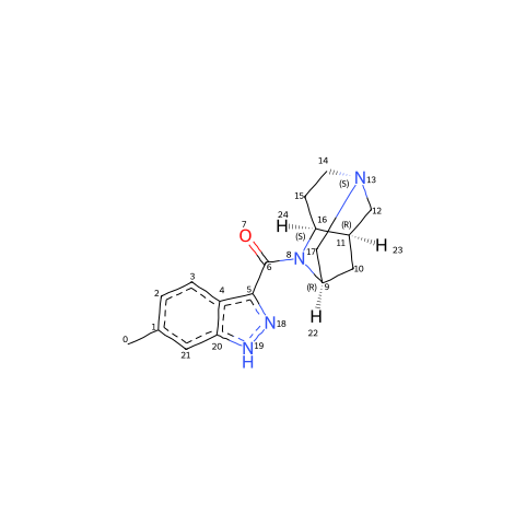 Cc1ccc2c(C(=O)N3[C@@H]4C[C@@H]5C[N@@](CC[C@@H]53)C4)n[nH]c2c1